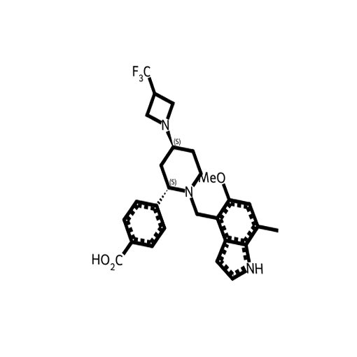 COc1cc(C)c2[nH]ccc2c1CN1CC[C@H](N2CC(C(F)(F)F)C2)C[C@H]1c1ccc(C(=O)O)cc1